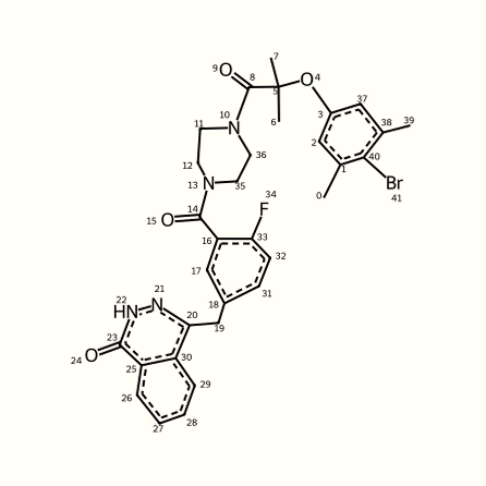 Cc1cc(OC(C)(C)C(=O)N2CCN(C(=O)c3cc(Cc4n[nH]c(=O)c5ccccc45)ccc3F)CC2)cc(C)c1Br